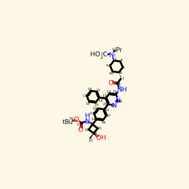 CC(C)N(C(=O)O)[C@H]1CC[C@H](CC(=O)Nc2cc(-c3ccccc3)c(-c3ccc([C@]4(NC(=O)OC(C)(C)C)C[C@](C)(O)C4)cc3)nn2)CC1